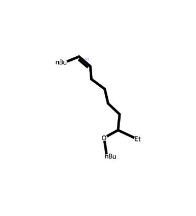 CCCC/C=C\CCCCC(CC)OCCCC